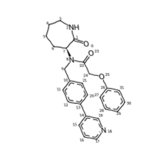 O=C1NCCCC[C@@H]1N(Cc1ccc(-c2cccnc2)cc1)C(=O)COc1ccccc1